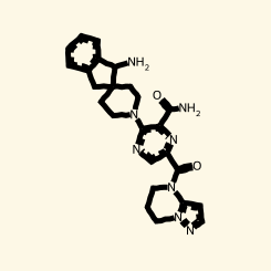 NC(=O)c1nc(C(=O)N2CCCn3nccc32)cnc1N1CCC2(CC1)Cc1ccccc1C2N